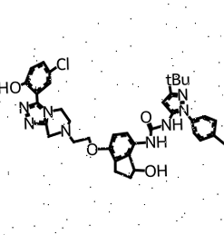 Cc1ccc(-n2nc(C(C)(C)C)cc2NC(=O)Nc2ccc(OCCN3CCn4c(nnc4-c4cc(Cl)ccc4O)C3)c3c2C(O)CC3)cc1